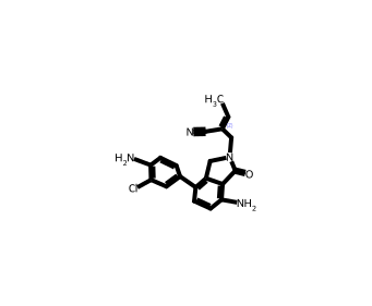 C/C=C(\C#N)CN1Cc2c(-c3ccc(N)c(Cl)c3)ccc(N)c2C1=O